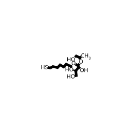 CC(CO)OC(OCCCCCCCS)C(O)[C@H](O)CO